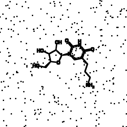 NCCCc1cn([C@H]2O[C@@H](CO)C(O)C2O)c(=O)[nH]c1=O